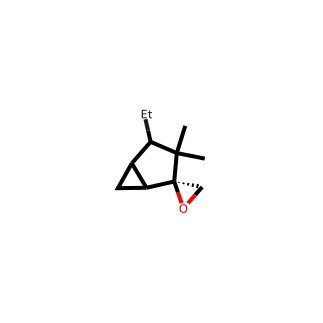 CCC1C2CC2[C@@]2(CO2)C1(C)C